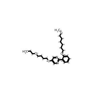 CCCOCCCCOc1cnc(-c2ccccc2OCCCCCCOC)nc1